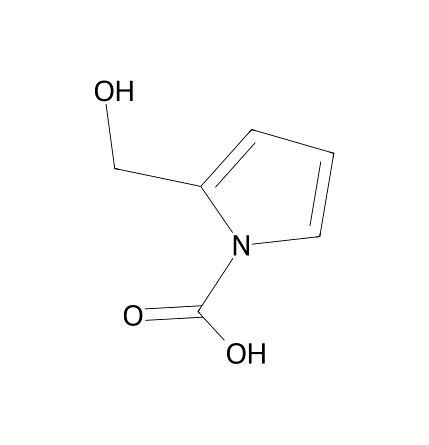 O=C(O)n1cccc1CO